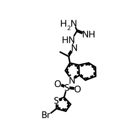 CC(=NNC(=N)N)c1cn(S(=O)(=O)c2ccc(Br)s2)c2ccccc12